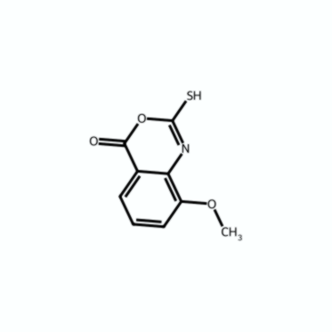 COc1cccc2c(=O)oc(S)nc12